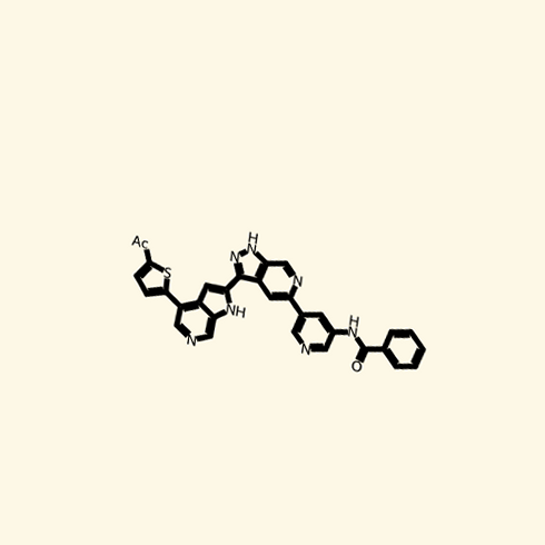 CC(=O)c1ccc(-c2cncc3[nH]c(-c4n[nH]c5cnc(-c6cncc(NC(=O)c7ccccc7)c6)cc45)cc23)s1